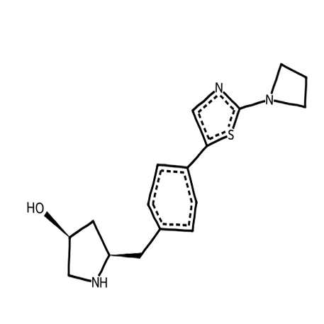 O[C@@H]1CN[C@H](Cc2ccc(-c3cnc(N4CCC4)s3)cc2)C1